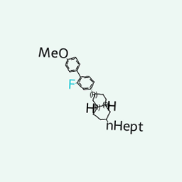 CCCCCCCC1CC[C@@H]2C[C@H](c3ccc(-c4ccc(OC)cc4)c(F)c3)CC[C@@H]2C1